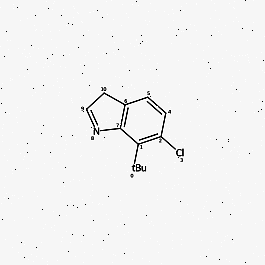 CC(C)(C)c1c(Cl)ccc2c1N=CC2